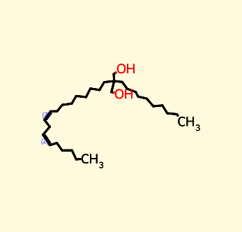 CCCCC/C=C\C/C=C\CCCCCCCCC(CO)(CO)CCCCCCCCCC